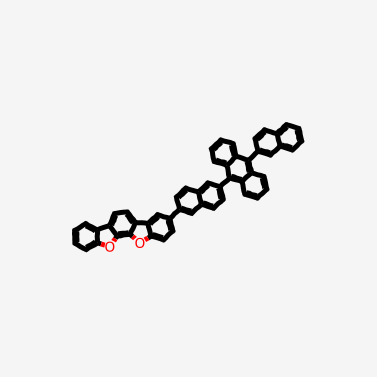 c1ccc2cc(-c3c4ccccc4c(-c4ccc5cc(-c6ccc7oc8c(ccc9c%10ccccc%10oc98)c7c6)ccc5c4)c4ccccc34)ccc2c1